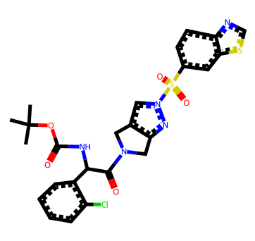 CC(C)(C)OC(=O)NC(C(=O)N1Cc2cn(S(=O)(=O)c3ccc4ncsc4c3)nc2C1)c1ccccc1Cl